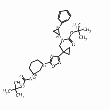 CC(C)(C)OC(=O)N[C@@H]1CCC[C@@H](c2nc(C3(CN(C(=O)OC(C)(C)C)[C@@H]4C[C@H]4c4ccccc4)CC3)no2)C1